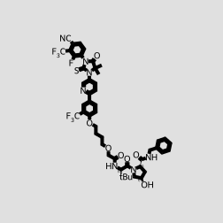 CC(C)(C)[C@H](NC(=O)COCCCCOc1ccc(-c2ccc(N3C(=S)N(c4ccc(C#N)c(C(F)(F)F)c4F)C(=O)C3(C)C)cn2)cc1C(F)(F)F)C(=O)N1C[C@H](O)C[C@H]1C(=O)NCc1ccccc1